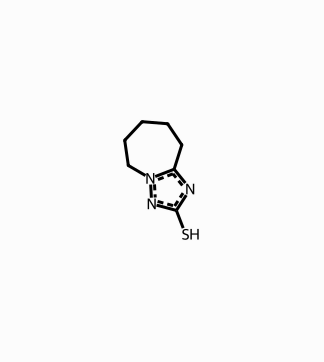 Sc1nc2n(n1)CCCCC2